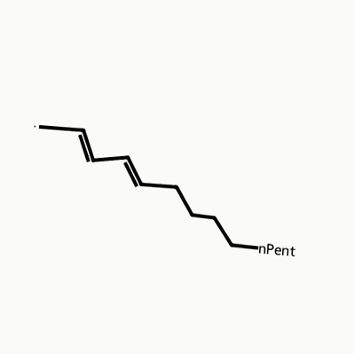 [CH2]C=CC=CCCCCCCCCC